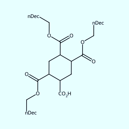 CCCCCCCCCCCOC(=O)C1CC(C(=O)OCCCCCCCCCCC)C(C(=O)OCCCCCCCCCCC)CC1C(=O)O